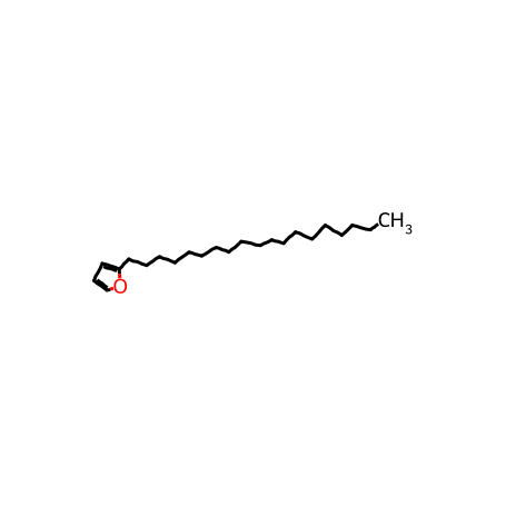 CCCCCCCCCCCCCCCCCCCc1ccco1